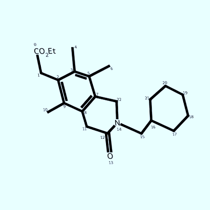 CCOC(=O)Cc1c(C)c(C)c2c(c1C)CC(=O)N(CC1CCCCC1)C2